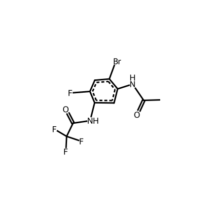 CC(=O)Nc1cc(NC(=O)C(F)(F)F)c(F)cc1Br